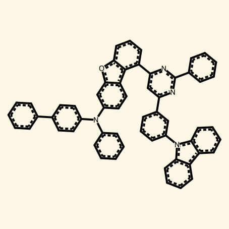 c1ccc(-c2ccc(N(c3ccccc3)c3ccc4c(c3)oc3cccc(-c5cc(-c6cccc(-n7c8ccccc8c8ccccc87)c6)nc(-c6ccccc6)n5)c34)cc2)cc1